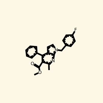 COC(=O)c1c(C)nc2c(ccn2Cc2ccc(F)cc2)c1-c1ccccc1